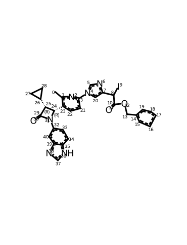 Cc1nc(-n2cnc(C(I)C(=O)OCc3ccccc3)c2)ccc1[C@H]1[C@@H](C2CC2)C(=O)N1c1ccc2[nH]cnc2c1